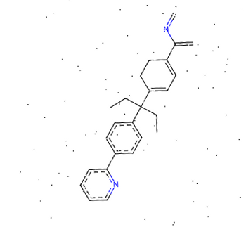 C=NC(=C)C1=CC=C(C(CC)(CC)c2ccc(-c3ccccn3)cc2)CC1